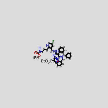 CCOC(=O)c1cnn2c(N(Cc3ccccc3)Cc3ccccc3)c(-c3ccccc3)c(NCc3cc(F)cnc3CCCNC(=O)OC(C)(C)C)nc12